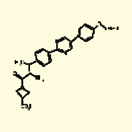 CCCCCCCOc1ccc(-c2cnc(-c3ccc(C(C)C(N)C(=O)N4CC(C(=O)O)C4)cc3)nc2)cc1